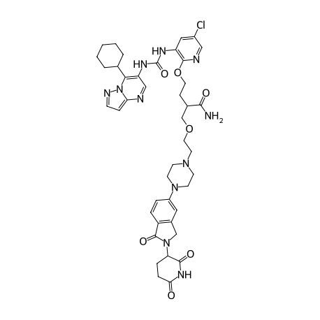 NC(=O)C(CCOc1ncc(Cl)cc1NC(=O)Nc1cnc2ccnn2c1C1CCCCC1)COCCN1CCN(c2ccc3c(c2)CN(C2CCC(=O)NC2=O)C3=O)CC1